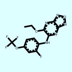 CCOc1nc2nonc2nc1Nc1ccc(OC(F)(F)F)cc1F